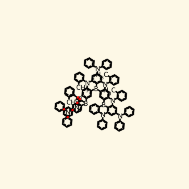 Cc1ccccc1N1c2cc3c(cc2B2c4ccccc4N(c4ccccc4)c4cc(N(c5ccccc5)c5ccccc5)cc1c42)B1c2cc4c(cc2N(c2ccccc2C)c2cc(N(c5ccccc5)c5ccccc5)cc(c21)N3c1ccccc1C)N(c1ccccc1C)c1cc(N(c2ccccc2)c2ccccc2)cc2c1B4c1ccccc1N2c1ccccc1